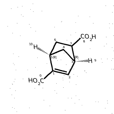 O=C(O)C1=C[C@H]2C[C@@H]1CC2C(=O)O